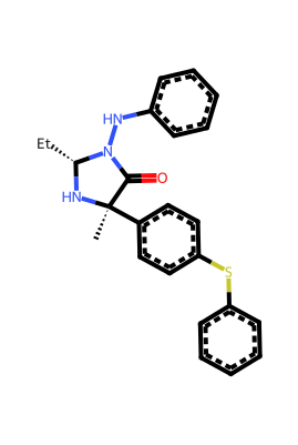 CC[C@H]1N[C@](C)(c2ccc(Sc3ccccc3)cc2)C(=O)N1Nc1ccccc1